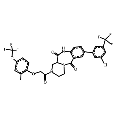 Cc1cc(OC(F)(F)F)ccc1OCC(=O)N1CCN2C(=O)c3cc(-c4cc(Cl)cc(C(F)(F)F)c4)ccc3NC(=O)C2C1